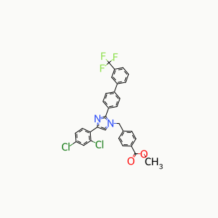 COC(=O)c1ccc(Cn2cc(-c3ccc(Cl)cc3Cl)nc2-c2ccc(-c3cccc(C(F)(F)F)c3)cc2)cc1